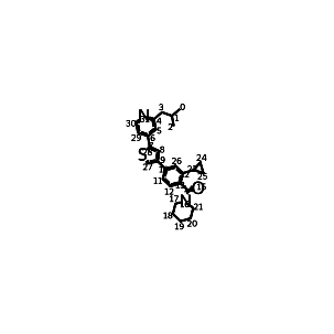 CC(C)Cc1cc(-c2cc(-c3ccc(C(=O)N4CCCCC4)c(C4CC4)c3)cs2)ccn1